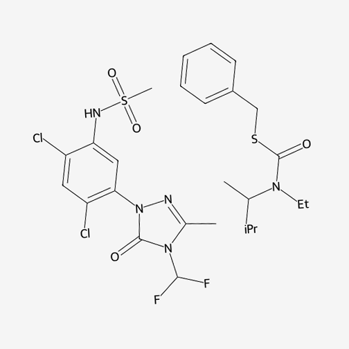 CCN(C(=O)SCc1ccccc1)C(C)C(C)C.Cc1nn(-c2cc(NS(C)(=O)=O)c(Cl)cc2Cl)c(=O)n1C(F)F